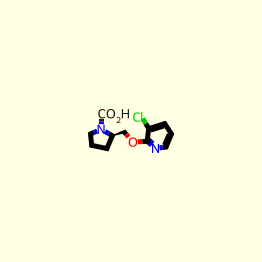 O=C(O)N1CCC[C@@H]1COc1ncccc1Cl